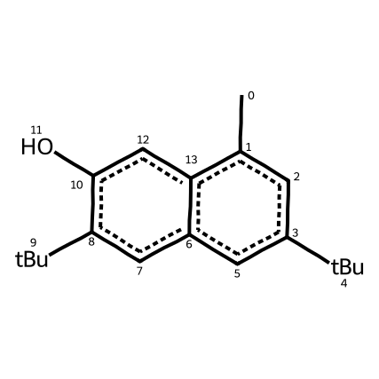 Cc1cc(C(C)(C)C)cc2cc(C(C)(C)C)c(O)cc12